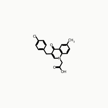 Cc1ccc2c(c1)c(=O)c(Cc1ccc(Cl)cc1)cn2CC(=O)O